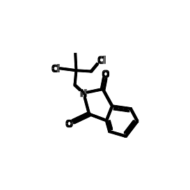 CC(Cl)(CCl)CN1C(=O)c2ccccc2C1=O